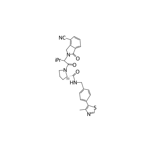 Cc1ncsc1-c1ccc(CNC(=O)[C@@H]2CCCN2C(=O)C(C(C)C)N2Cc3c(C#N)cccc3C2=O)cc1